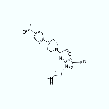 CN[C@H]1C[C@H](n2cc(C#N)c3ccc(N4CCN(c5ccc(C(C)=O)cn5)CC4)nc32)C1